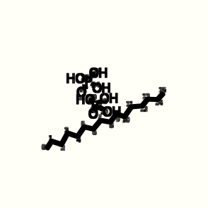 CCCCCCCCCCCCCCCC.O=P(O)(O)O.O=P(O)(O)O